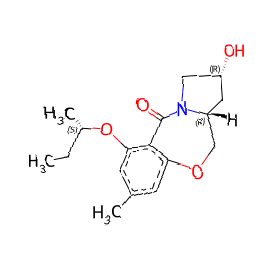 CC[C@H](C)Oc1cc(C)cc2c1C(=O)N1C[C@H](O)C[C@@H]1CO2